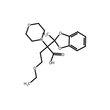 CCOCCC(C(=O)O)(N1CCOCC1)C1(C)Oc2ccccc2O1